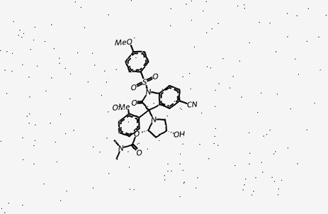 COc1ccc(S(=O)(=O)N2C(=O)C(c3ccccc3OC)(N3C[C@H](O)C[C@@H]3OC(=O)N(C)C)c3cc(C#N)ccc32)cc1